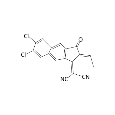 C/C=C1/C(=O)c2cc3cc(Cl)c(Cl)cc3cc2C1=C(C#N)C#N